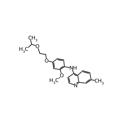 COc1cc(OCCOC(C)C)ccc1Nc1ccnc2cc(C)ccc12